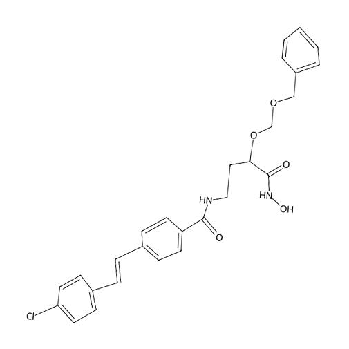 O=C(NCCC(OCOCc1ccccc1)C(=O)NO)c1ccc(/C=C/c2ccc(Cl)cc2)cc1